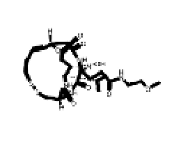 COCCNC(=O)CC[C@H]1NC(=O)C[C@H]2/C=C/CCSSC[C@@H](NC1=O)C(=O)N[C@H](C(C)C)[C@@H](O)CC(=O)O2